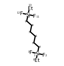 CC[Si](F)(F)CCCCCC[Si](F)(F)CC